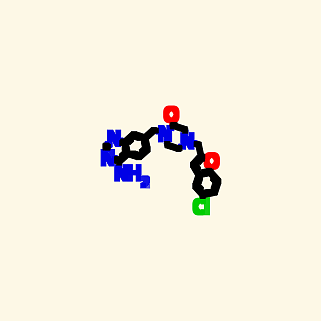 Nc1ncnc2cc(CN3CCN(Cc4cc5cc(Cl)ccc5o4)CC3=O)ccc12